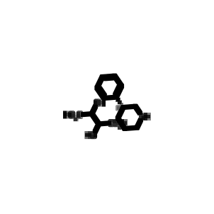 O=C(O)C(O)C(O)C(=O)O.c1ccc([C@H]2CCCNC2)cc1